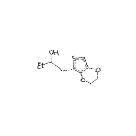 CCC(O)Cc1scc2c1OCCO2